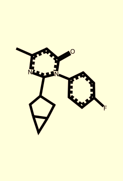 Cc1cc(=O)n(-c2ccc(F)cc2)c(C2CC3CC3C2)n1